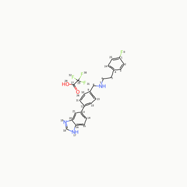 Fc1ccc(CCNCc2ccc(-c3ccc4[nH]cnc4c3)cc2)cc1.O=C(O)C(F)(F)F